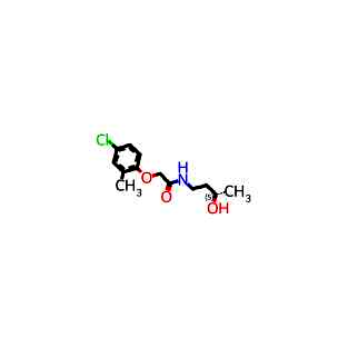 Cc1cc(Cl)ccc1OCC(=O)NCC[C@H](C)O